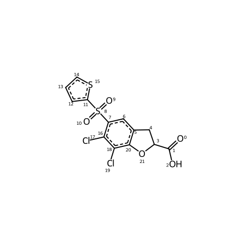 O=C(O)C1Cc2cc(S(=O)(=O)c3cccs3)c(Cl)c(Cl)c2O1